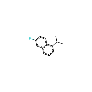 CC(C)c1cccc2cc(F)ccc12